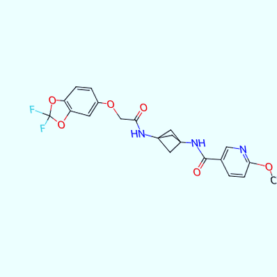 O=C(COc1ccc2c(c1)OC(F)(F)O2)NC12CC(NC(=O)c3ccc(OC(F)(F)F)nc3)(C1)C2